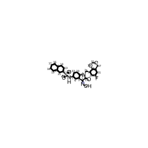 O=C1/C(=N\O)c2cc(NS(=O)(=O)c3ccc4ccccc4c3)ccc2N1Cc1cc(F)cc2c1OCOC2